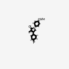 COc1ccc(N2CC(c3ccc(F)cc3)=C(C)C2=O)cc1